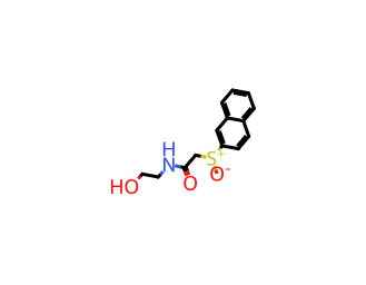 O=C(C[S+]([O-])c1ccc2ccccc2c1)NCCO